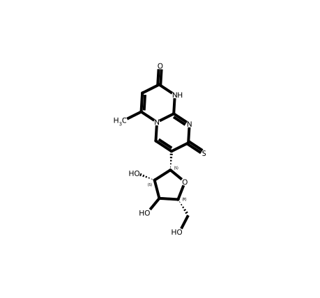 Cc1cc(=O)[nH]c2nc(=S)c([C@@H]3O[C@H](CO)C(O)[C@@H]3O)cn12